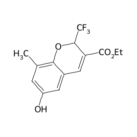 CCOC(=O)C1=Cc2cc(O)cc(C)c2OC1C(F)(F)F